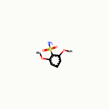 CCCOc1cccc(OC(C)(C)C)c1S(N)(=O)=O